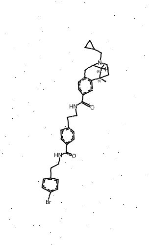 C[C@H]1C2Cc3ccc(C(=O)NCCc4ccc(C(=O)NCCc5ccc(Br)cc5)cc4)cc3[C@@]1(C)CCN2CC1CC1